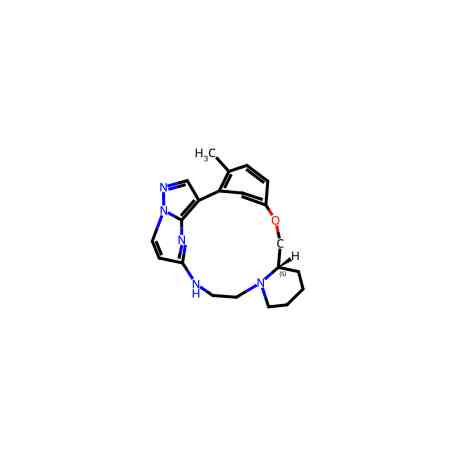 Cc1ccc2cc1-c1cnn3ccc(nc13)NCCN1CCCC[C@H]1CO2